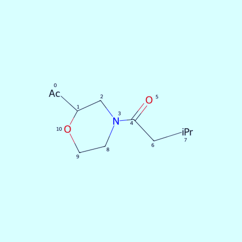 CC(=O)C1CN(C(=O)CC(C)C)CCO1